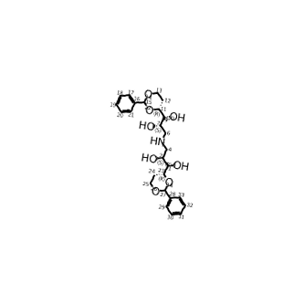 O[C@H]([C@@H](O)CNC[C@H](O)[C@@H](O)[C@H]1CCOC(c2ccccc2)O1)[C@H]1CCOC(c2ccccc2)O1